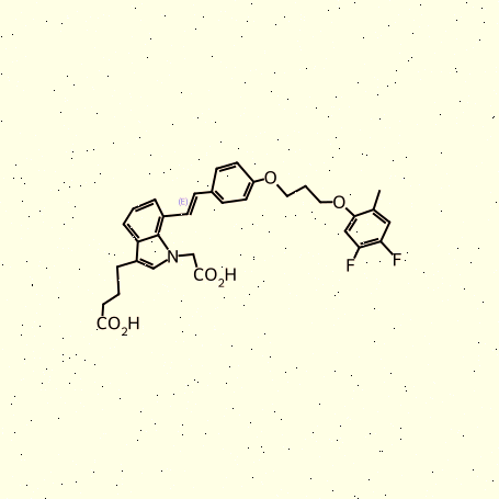 Cc1cc(F)c(F)cc1OCCCOc1ccc(/C=C/c2cccc3c(CCCC(=O)O)cn(CC(=O)O)c23)cc1